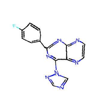 Fc1ccc(-c2nc(-n3cncn3)c3nccnc3n2)cc1